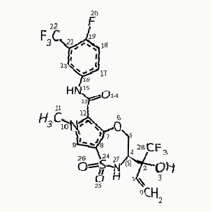 C=CC(O)([C@@H]1COc2c(cn(C)c2C(=O)Nc2ccc(F)c(C(F)(F)F)c2)S(=O)(=O)N1)C(F)(F)F